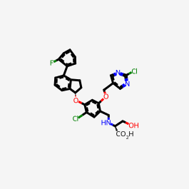 O=C(O)[C@H](CO)NCc1cc(Cl)c(O[C@H]2CCc3c(-c4ccccc4F)cccc32)cc1OCc1cnc(Cl)nc1